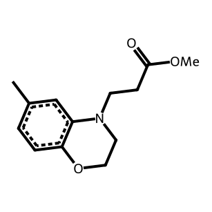 COC(=O)CCN1CCOc2ccc(C)cc21